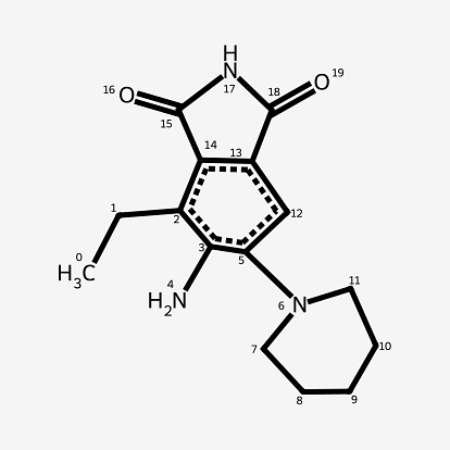 CCc1c(N)c(N2CCCCC2)cc2c1C(=O)NC2=O